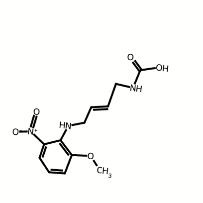 COc1cccc([N+](=O)[O-])c1NC/C=C/CNC(=O)O